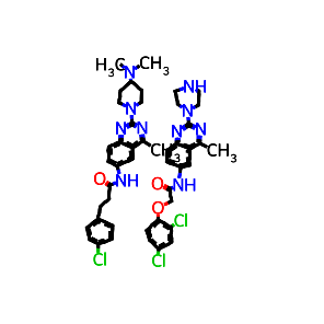 Cc1nc(N2CCC(N(C)C)CC2)nc2ccc(NC(=O)CCc3ccc(Cl)cc3)cc12.Cc1nc(N2CCNCC2)nc2ccc(NC(=O)COc3ccc(Cl)cc3Cl)cc12